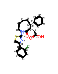 O=C(O)C[C@@H]1C(=O)N(c2nc(-c3ccccc3Cl)cs2)CCCC[C@@H]1c1ccccc1